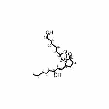 CCCCCC(O)C=CC1CCC(=O)N1CC(O)CCCCCO